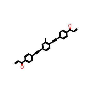 C=CC(=O)c1ccc(C#Cc2ccc(C#Cc3ccc(C(=O)C=C)cc3)c(C)c2)cc1